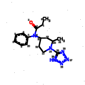 CCC(=O)N(c1ccccc1)C1CCN(c2nnn[nH]2)C(C)C1